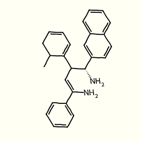 CC1CC=CC=C1C(/C=C(\N)c1ccccc1)[C@@H](N)c1ccc2ccccc2c1